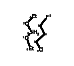 CCO[SiH2]OCC.FCCCCl